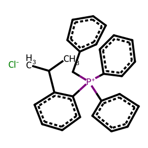 CC(C)c1ccccc1[P+](Cc1ccccc1)(c1ccccc1)c1ccccc1.[Cl-]